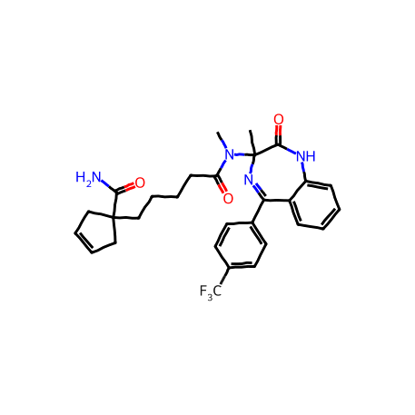 CN(C(=O)CCCCC1(C(N)=O)CC=CC1)C1(C)N=C(c2ccc(C(F)(F)F)cc2)c2ccccc2NC1=O